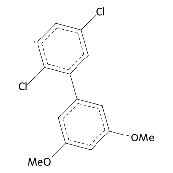 COc1cc(OC)cc(-c2cc(Cl)c[c]c2Cl)c1